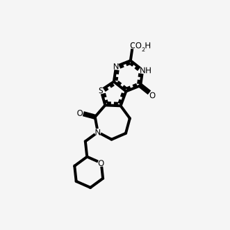 O=C(O)c1nc2sc3c(c2c(=O)[nH]1)CCCN(CC1CCCCO1)C3=O